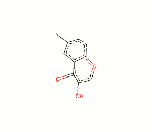 Cc1ccc2occ(O)c(=O)c2c1